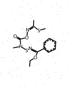 CCOC(=NSN(C)C(=O)ON=C(C)SC)c1ccccc1